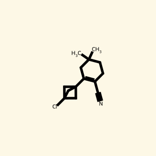 CC1(C)CCC(C#N)=C(C23CC(Cl)(C2)C3)C1